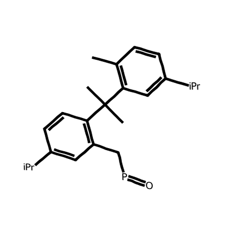 Cc1ccc(C(C)C)cc1C(C)(C)c1ccc(C(C)C)cc1CP=O